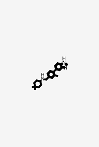 Cc1cc(CNC2CCC(C)(C)CC2)ccc1-c1ccc2[nH]cnc2c1